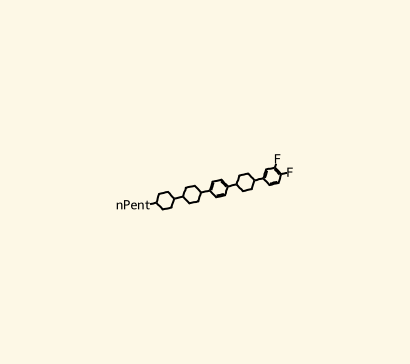 CCCCCC1CCC(C2CCC(c3ccc(C4CCC(c5ccc(F)c(F)c5)CC4)cc3)CC2)CC1